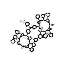 Cc1ccc(N(c2ccc(-c3c4nc(c(-c5ccccn5)c5[nH]c(cc5-c5ccccc5)c(Br)c5nc(c(-c6ccccn6)c6[nH]c3cc6-c3ccccc3)C(C3=CC=CCC3)=C5)C(c3ccccc3)=C4)cc2)c2ccc(-c3c4nc(c(-c5ccccn5)c5[nH]c(cc5-c5ccccc5)c(Br)c5nc(c(-c6ccccn6)c6[nH]c3cc6-c3ccccc3)C(C3=CC=CCC3)=C5)C(c3ccccc3)=C4)cc2)cc1